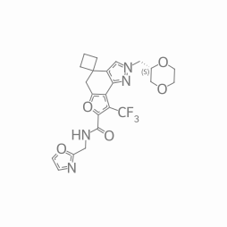 O=C(NCc1ncco1)c1oc2c(c1C(F)(F)F)-c1nn(C[C@H]3COCCO3)cc1C1(CCC1)C2